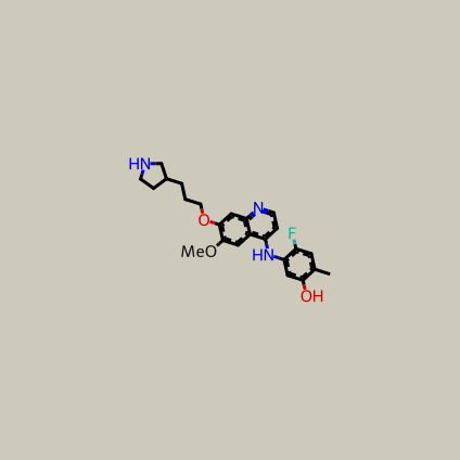 COc1cc2c(Nc3cc(O)c(C)cc3F)ccnc2cc1OCCCC1CCNC1